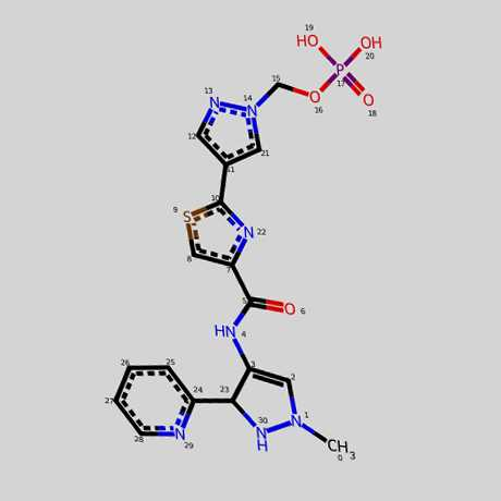 CN1C=C(NC(=O)c2csc(-c3cnn(COP(=O)(O)O)c3)n2)C(c2ccccn2)N1